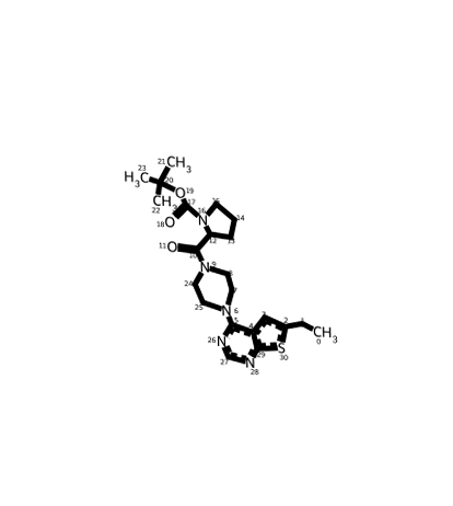 CCc1cc2c(N3CCN(C(=O)C4CCCN4C(=O)OC(C)(C)C)CC3)ncnc2s1